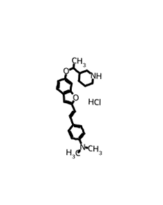 CC(Oc1ccc2cc(C=Cc3ccc(N(C)C)cc3)oc2c1)C1CCCNC1.Cl